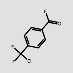 O=C(F)c1ccc(C(F)(F)Cl)cc1